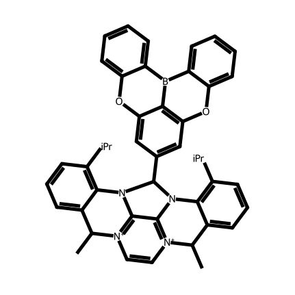 CC(C)c1cccc2c1N1c3c4[n+](cc[n+]3C2C)C(C)c2cccc(C(C)C)c2N4C1c1cc2c3c(c1)Oc1ccccc1B3c1ccccc1O2